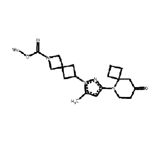 Cc1cc(N2CCC(=O)CC23CCC3)nn1C1CC2(C1)CN(C(=O)OC(C)(C)C)C2